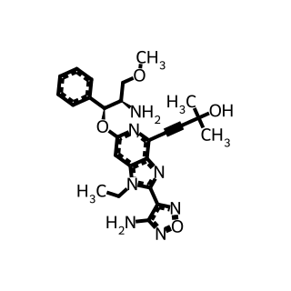 CCn1c(-c2nonc2N)nc2c(C#CC(C)(C)O)nc(O[C@@H](c3ccccc3)[C@H](N)COC)cc21